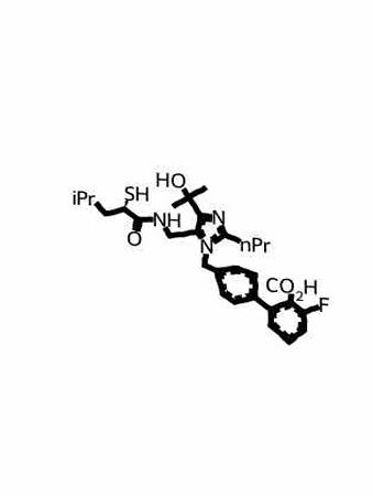 CCCc1nc(C(C)(C)O)c(CNC(=O)[C@@H](S)CC(C)C)n1Cc1ccc(-c2cccc(F)c2C(=O)O)cc1